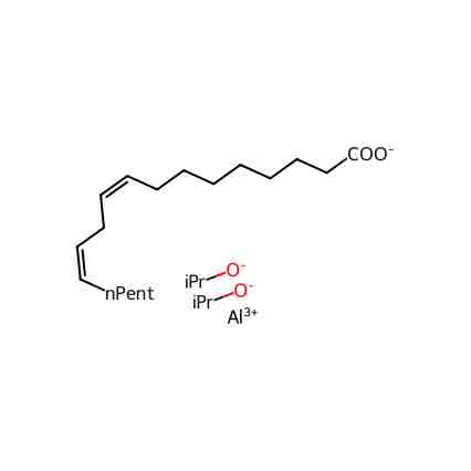 CC(C)[O-].CC(C)[O-].CCCCC/C=C\C/C=C\CCCCCCCC(=O)[O-].[Al+3]